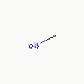 CCCCCCCCCCCCNc1cc(C)nc(-c2ccncc2)n1